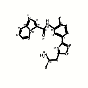 Cc1ccc(-c2noc(C[C@@H](C)N)n2)cc1NC(=O)c1cnc2ccccn12